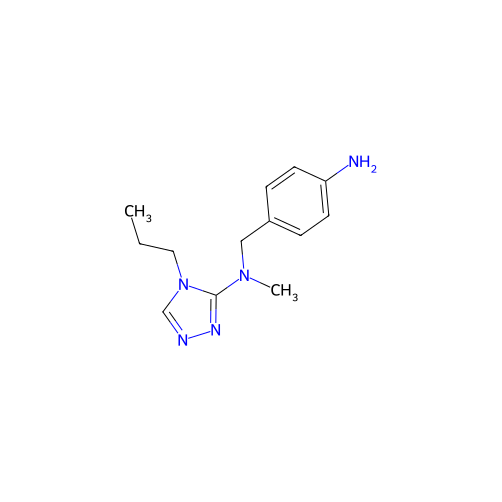 CCCn1cnnc1N(C)Cc1ccc(N)cc1